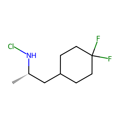 C[C@@H](CC1CCC(F)(F)CC1)NCl